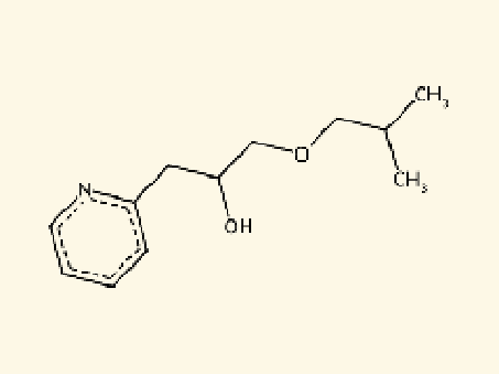 CC(C)COCC(O)Cc1ccccn1